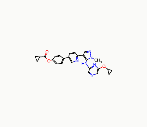 Cn1ncc(-c2ccc(-c3ccc(OC(=O)C4CC4)cc3)cn2)c1Nc1cncc(OC2CC2)n1